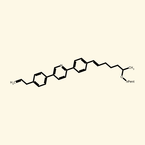 C=CCc1ccc(-c2ccc(-c3ccc(C=CCCCC(C)OCCCCC)cc3)nc2)cc1